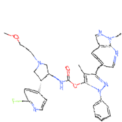 COCCN1C[C@@H](NC(=O)Oc2c(C)c(-c3cnc4c(cnn4C)c3)nn2-c2ccccc2)[C@H](c2ccnc(F)c2)C1